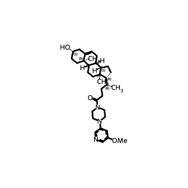 COc1cncc(N2CCN(C(=O)CC[C@@H](C)[C@H]3CC[C@H]4[C@@H]5CC=C6C[C@@H](O)CC[C@]6(C)[C@H]5CC[C@]34C)CC2)c1